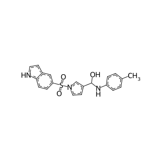 Cc1ccc(NC(O)c2ccn(S(=O)(=O)c3ccc4[nH]ccc4c3)c2)cc1